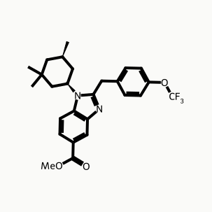 COC(=O)c1ccc2c(c1)nc(Cc1ccc(OC(F)(F)F)cc1)n2[C@@H]1C[C@H](C)CC(C)(C)C1